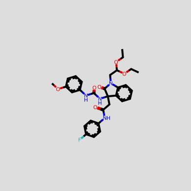 CCOC(CN1C(=O)C(CC(=O)Nc2ccc(F)cc2)(NC(=O)Nc2cccc(OC)c2)c2ccccc21)OCC